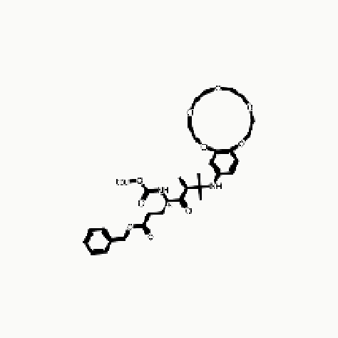 CC(C(=O)[C@@H](CCC(=O)OCc1ccccc1)NC(=O)OC(C)(C)C)C(C)(C)Nc1ccc2c(c1)OCCOCCOCCOCCO2